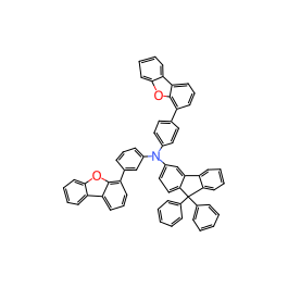 c1ccc(C2(c3ccccc3)c3ccccc3-c3cc(N(c4ccc(-c5cccc6c5oc5ccccc56)cc4)c4cccc(-c5cccc6c5oc5ccccc56)c4)ccc32)cc1